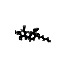 CCCCCOc1ccc(/C=C(\CCC)C(=O)O)cc1OC